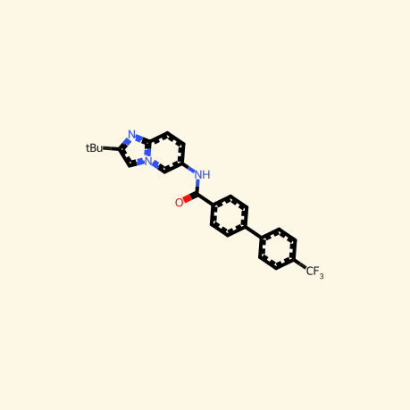 CC(C)(C)c1cn2cc(NC(=O)c3ccc(-c4ccc(C(F)(F)F)cc4)cc3)ccc2n1